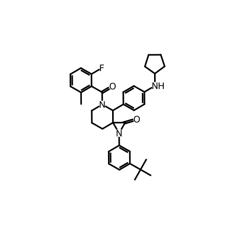 Cc1cccc(F)c1C(=O)N1CCCC2(C(=O)N2c2cccc(C(C)(C)C)c2)C1c1ccc(NC2CCCC2)cc1